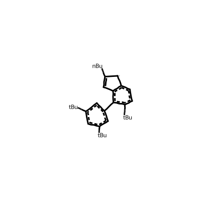 CCCCC1=Cc2c(ccc(C(C)(C)C)c2-c2cc(C(C)(C)C)cc(C(C)(C)C)c2)[CH]1